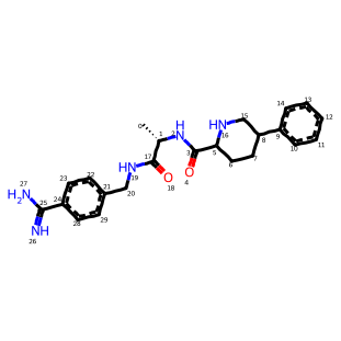 C[C@H](NC(=O)C1CCC(c2ccccc2)CN1)C(=O)NCc1ccc(C(=N)N)cc1